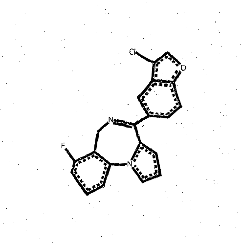 Fc1cccc2c1CN=C(c1ccc3occ(Cl)c3c1)c1cccn1-2